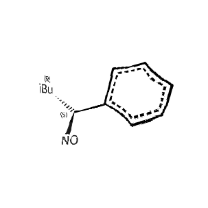 CC[C@@H](C)[C@H](N=O)c1ccccc1